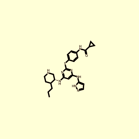 CCCC1CCNC[C@@H]1Nc1cc(Nc2ccn[nH]2)nc(Sc2ccc(NC(=O)C3CC3)cc2)n1